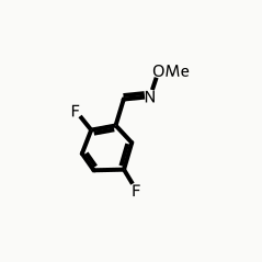 CO/N=C/c1cc(F)ccc1F